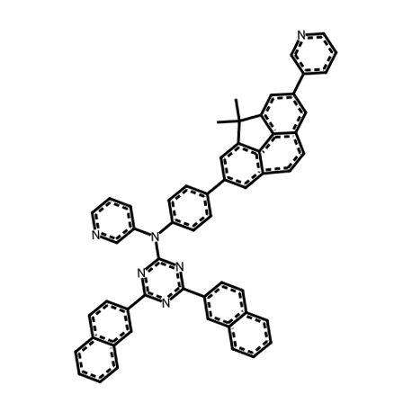 CC1(C)c2cc(-c3ccc(N(c4cccnc4)c4nc(-c5ccc6ccccc6c5)nc(-c5ccc6ccccc6c5)n4)cc3)cc3ccc4cc(-c5cccnc5)cc1c4c23